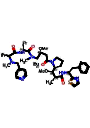 CC[C@H](C)C([C@@H](CC(=O)N1CCC[C@H]1[C@H](OC)[C@@H](C)C(=O)N[C@@H](Cc1ccccc1)c1nccs1)OC)N(C)C(=O)[C@@H](NC(=O)C(C(C)C)N(C)Cc1ccncc1)C(C)C